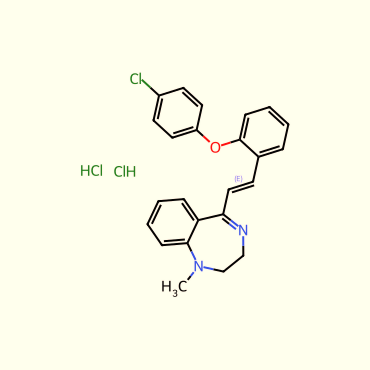 CN1CCN=C(/C=C/c2ccccc2Oc2ccc(Cl)cc2)c2ccccc21.Cl.Cl